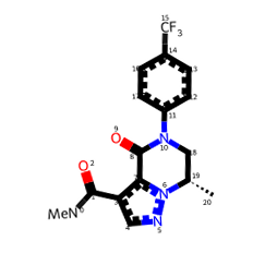 CNC(=O)c1cnn2c1C(=O)N(c1ccc(C(F)(F)F)cc1)C[C@@H]2C